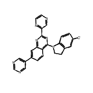 Clc1ccc2c(c1)CCN2c1nc(-c2cnccn2)nc2cc(-c3cncnc3)ccc12